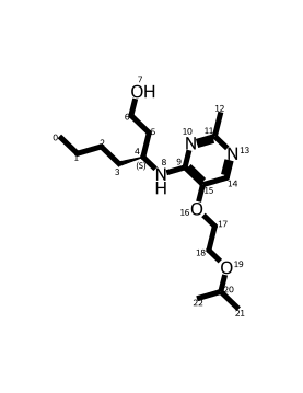 CCCC[C@@H](CCO)Nc1nc(C)ncc1OCCOC(C)C